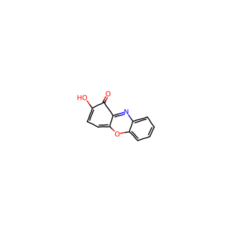 O=c1c(O)ccc2oc3ccccc3nc1-2